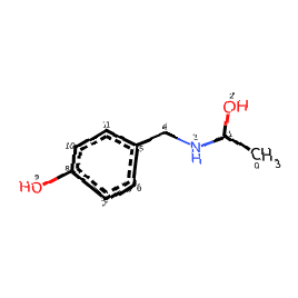 CC(O)NCc1ccc(O)cc1